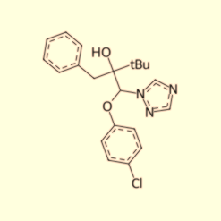 CC(C)(C)C(O)(Cc1ccccc1)C(Oc1ccc(Cl)cc1)n1cncn1